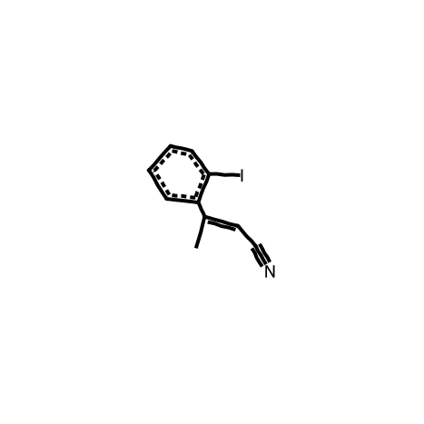 CC(=CC#N)c1ccccc1I